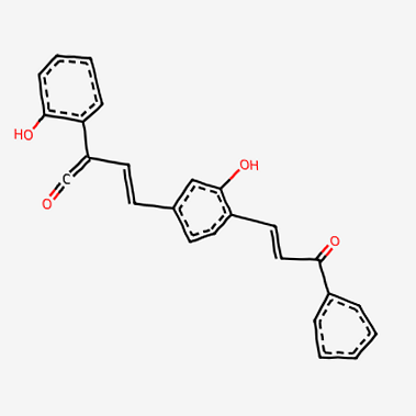 O=C=C(C=Cc1ccc(C=CC(=O)c2ccccc2)c(O)c1)c1ccccc1O